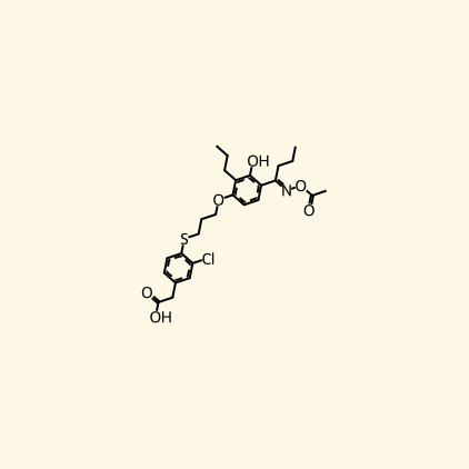 CCC/C(=N\OC(C)=O)c1ccc(OCCCSc2ccc(CC(=O)O)cc2Cl)c(CCC)c1O